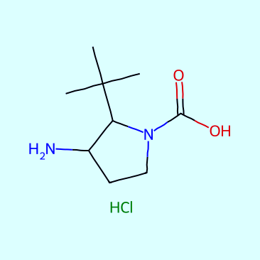 CC(C)(C)C1C(N)CCN1C(=O)O.Cl